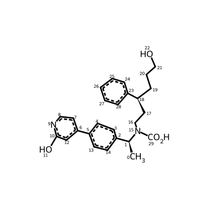 C[C@@H](c1ccc(-c2ccnc(O)c2)cc1)N(CC[C@H](CCCO)c1ccccc1)C(=O)O